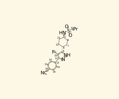 CC(C)S(=O)(=O)N[C@H]1CC[C@H](c2[nH]nc(-c3ccc(C#N)cc3)c2F)CC1